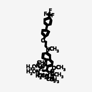 COc1cc2cc(N(C)CCOc3ccc(-c4ccc(C(F)(F)F)cc4)cc3)ccc2nc1C(CP(=O)(N(C)C)N(C)C)P(=O)(N(C)C)N(C)C